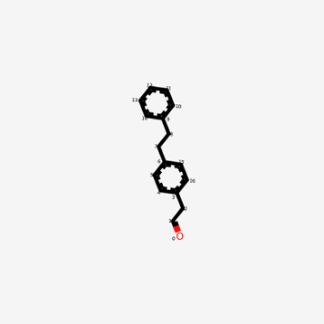 O=[C]Cc1ccc(CCc2ccccc2)cc1